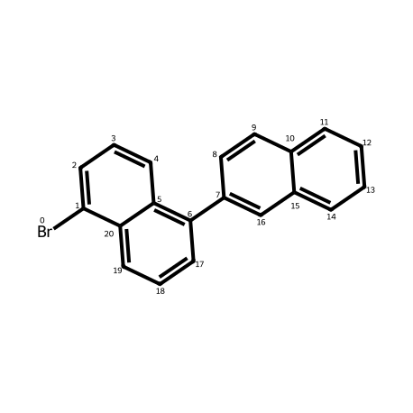 Brc1cccc2c(-c3ccc4ccccc4c3)cccc12